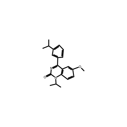 COc1ccc2c(c1)c(-c1cccc(C(C)C)c1)nc(=O)n2C(C)C